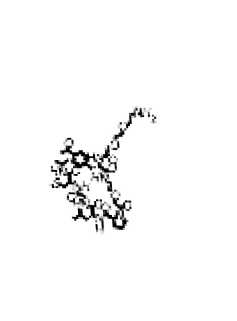 CSCC(NC(=O)CNC(=O)[C@H](CC(C)C)NC(=O)C1CCCN1C(=O)COCCNC(=O)[C@H](Cc1ccc(C(C)=O)cc1)NC(=O)COCCOCCN)C(=O)NC(C)C